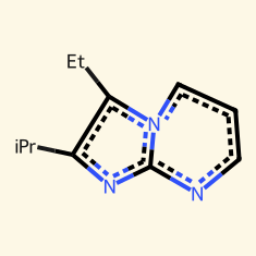 CCc1c(C(C)C)nc2ncccn12